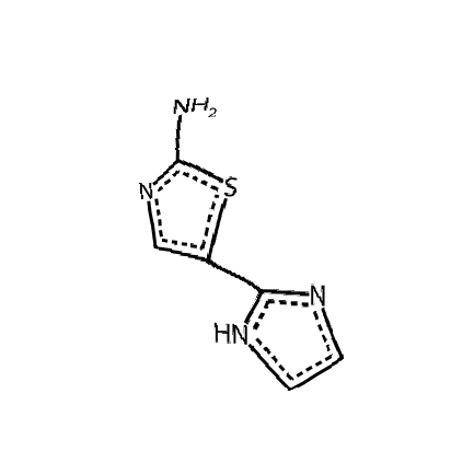 Nc1ncc(-c2ncc[nH]2)s1